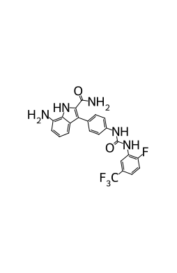 NC(=O)c1[nH]c2c(N)cccc2c1-c1ccc(NC(=O)Nc2cc(C(F)(F)F)ccc2F)cc1